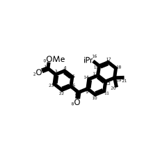 COC(=O)c1ccc(C(=O)c2ccc3c(c2)C(C(C)C)=CCC3(C)C)cc1